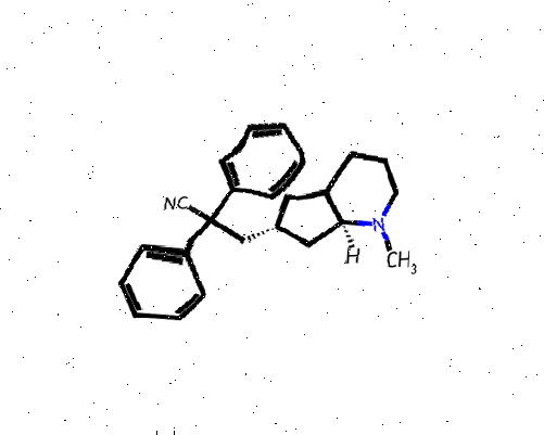 CN1CCCC2C[C@@H](CC(C#N)(c3ccccc3)c3ccccc3)C[C@@H]21